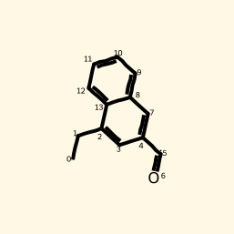 CCc1cc([C]=O)cc2ccccc12